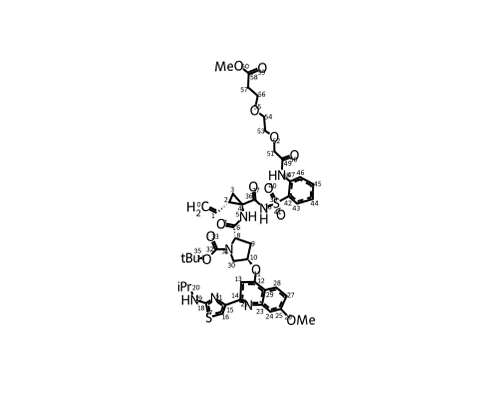 C=C[C@@H]1C[C@]1(NC(=O)[C@@H]1C[C@@H](Oc2cc(-c3csc(NC(C)C)n3)nc3cc(OC)ccc23)CN1C(=O)OC(C)(C)C)C(=O)NS(=O)(=O)c1ccccc1NC(=O)COCCOCCC(=O)OC